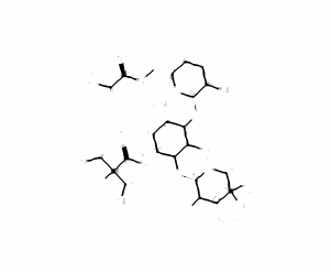 CN[C@@H]1C(O)[C@@H](OC2C(O)C(O[C@H]3O[C@H](CNC(=N)CO)CCC3N)[C@@H](N)C[C@H]2NC(=O)C(O)(CN)CN)OCC1(C)O